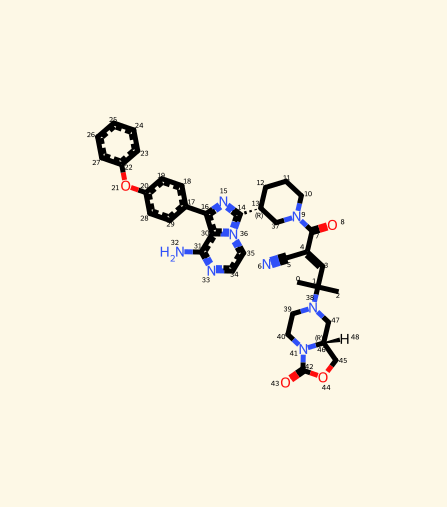 CC(C)(C=C(C#N)C(=O)N1CCC[C@@H](c2nc(-c3ccc(Oc4ccccc4)cc3)c3c(N)nccn23)C1)N1CCN2C(=O)OC[C@H]2C1